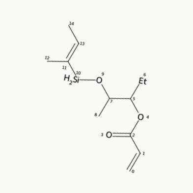 C=CC(=O)OC(CC)C(C)O[SiH2]C(C)=CC